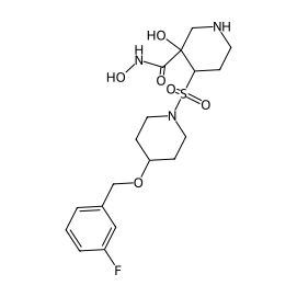 O=C(NO)C1(O)CNCCC1S(=O)(=O)N1CCC(OCc2cccc(F)c2)CC1